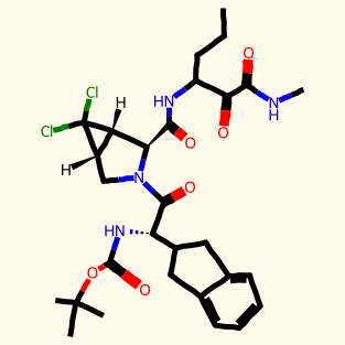 CCCC(NC(=O)[C@@H]1[C@@H]2[C@H](CN1C(=O)[C@@H](NC(=O)OC(C)(C)C)C1Cc3ccccc3C1)C2(Cl)Cl)C(=O)C(=O)NC